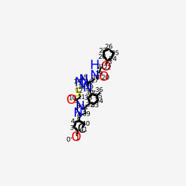 COc1ccc(C2=NN(C(=O)CSc3nnc(CNC(=O)COc4ccccc4)n3C)C(c3ccc(C)cc3)C2)cc1